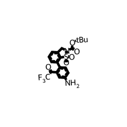 CC(C)(C)OC(=O)N1Cc2cccc(-c3ccc(N)cc3C(=O)C(F)(F)F)c2S1(=O)=O